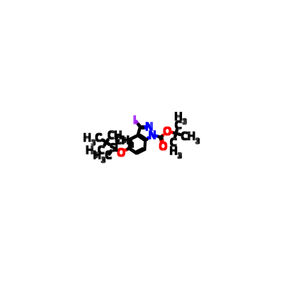 CC(C)(C)OC(=O)n1nc(I)c2cc(O[Si](C)(C)C(C)(C)C)ccc21